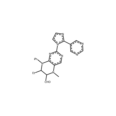 CCC1C(C=O)N(C)c2cnc(-n3ccnc3-c3cncnc3)nc2N1C(C)C